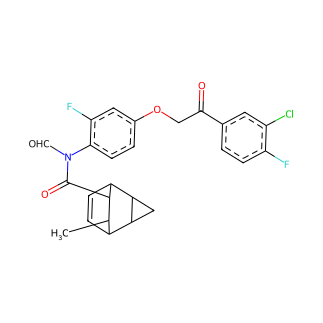 CC1C2C=CC(C3CC23)C1C(=O)N(C=O)c1ccc(OCC(=O)c2ccc(F)c(Cl)c2)cc1F